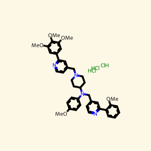 COc1ccc(N(Cc2ccnc(-c3ccccc3OC)c2)C2CCN(Cc3ccnc(-c4cc(OC)c(OC)c(OC)c4)c3)CC2)cc1.Cl.Cl.Cl